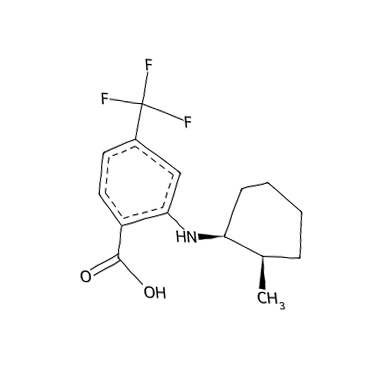 C[C@@H]1CCCC[C@@H]1Nc1cc(C(F)(F)F)ccc1C(=O)O